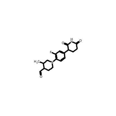 CC1CN(c2ccc(C3CCC(=O)NC3=O)cc2F)CCC1C=O